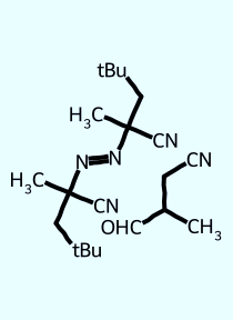 CC(C)(C)CC(C)(C#N)N=NC(C)(C#N)CC(C)(C)C.CC(C=O)CC#N